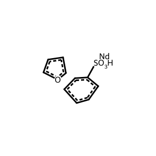 O=S(=O)(O)c1ccccc1.[Nd].c1ccoc1